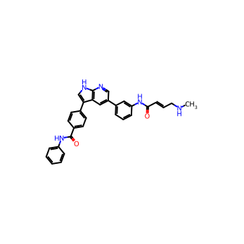 CNC/C=C/C(=O)Nc1cccc(-c2cnc3[nH]cc(-c4ccc(C(=O)Nc5ccccc5)cc4)c3c2)c1